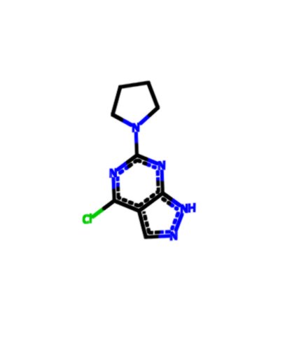 Clc1nc(N2CCCC2)nc2[nH]ncc12